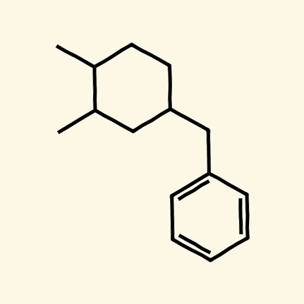 CC1CCC(Cc2ccccc2)CC1C